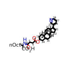 CCCCCCCCC(NC(=O)CCC(=O)O[C@H]1CC[C@@]2(C)C(=CC[C@@H]3[C@@H]2CC[C@]2(C)C(c4cccnc4)=CC[C@@H]32)C1)C(=O)O